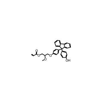 C=CC(=O)OCC(COc1ccc(C2(c3ccc(O)cc3)c3ccccc3-c3ccccc32)cc1)OC